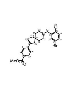 COC(=O)c1ccc(C2=NOC3(CCN(Cc4cc(Br)ccc4Cl)CC3)C2)cc1